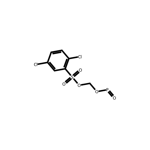 O=POCOS(=O)(=O)c1cc(Cl)ccc1Cl